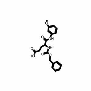 COc1cccc(NC(=O)C(CCC(=O)O)NC(=O)OCc2ccccc2)c1